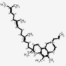 C=CCN1COc2c(C)c(C)c3c(c2C1)CC[C@@](C)(CC/C=C(\C)CC/C=C(\C)CCC=C(C)C)O3